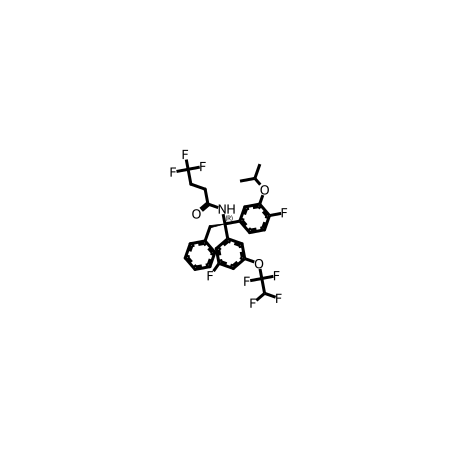 CC(C)Oc1cc([C@@](Cc2ccccc2)(NC(=O)CCC(F)(F)F)c2cc(F)cc(OC(F)(F)C(F)F)c2)ccc1F